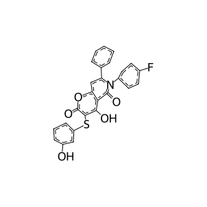 O=c1oc2cc(-c3ccccc3)n(-c3ccc(F)cc3)c(=O)c2c(O)c1Sc1cccc(O)c1